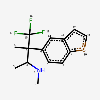 CNC(C)C(C)(c1ccc2sccc2c1)C(F)(F)F